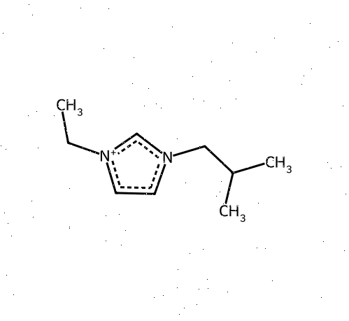 CC[n+]1ccn(CC(C)C)c1